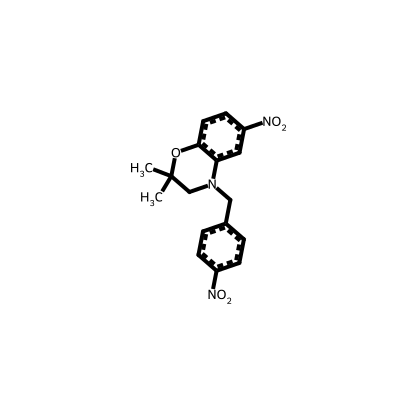 CC1(C)CN(Cc2ccc([N+](=O)[O-])cc2)c2cc([N+](=O)[O-])ccc2O1